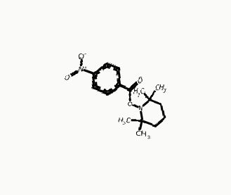 CC1(C)CCCC(C)(C)N1OC(=O)c1ccc([N+](=O)[O-])cc1